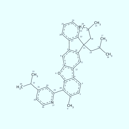 Cc1ccc2c(oc3cc4c(cc32)C(CC(C)C)(CC(C)C)c2ccccc2-4)c1-c1cc(C(C)C)ccn1